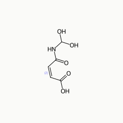 O=C(O)/C=C\C(=O)NC(O)O